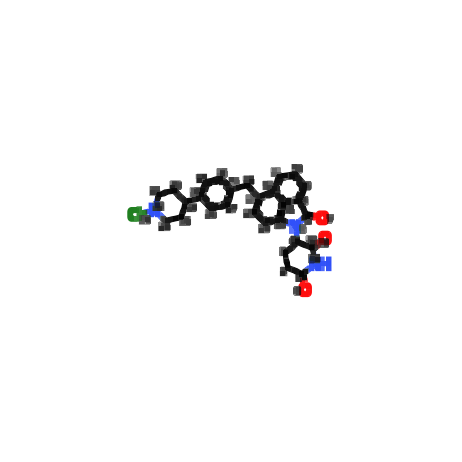 O=C1CCC(N2C(=O)c3cccc4c(Cc5ccc(C6CCN(Cl)CC6)cc5)ccc2c34)C(=O)N1